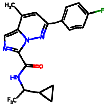 Cc1cc(-c2ccc(F)cc2)nn2c(C(=O)NC(C3CC3)C(F)(F)F)ncc12